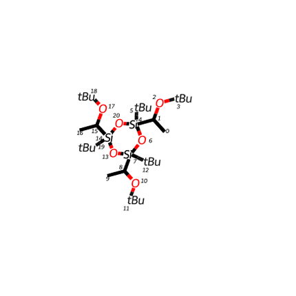 CC(OC(C)(C)C)[Si]1(C(C)(C)C)O[Si](C(C)OC(C)(C)C)(C(C)(C)C)O[Si](C(C)OC(C)(C)C)(C(C)(C)C)O1